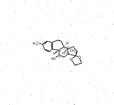 Cc1ccc2c(c1)CC[C@@H]1[C@@H]2[C@H](O)C[C@@]2(C)[C@H]1CCC21OCCO1